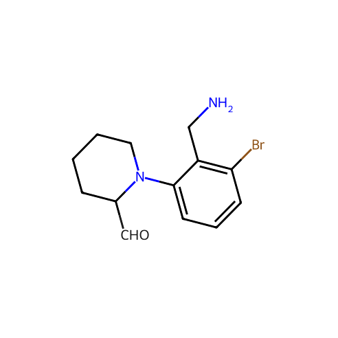 NCc1c(Br)cccc1N1CCCCC1C=O